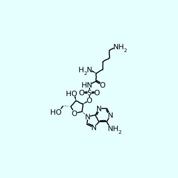 NCCCC[C@H](N)C(=O)NS(=O)(=O)O[C@@H]1[C@H](O)[C@@H](CO)O[C@H]1n1cnc2c(N)ncnc21